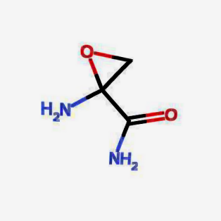 NC(=O)C1(N)CO1